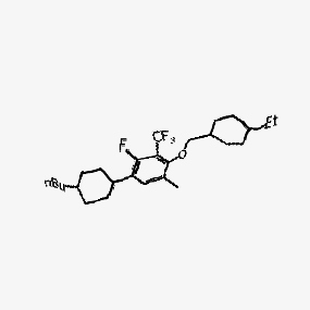 CCCCC1CCC(c2cc(C)c(OCC3CCC(CC)CC3)c(C(F)(F)F)c2F)CC1